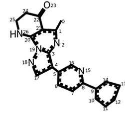 Cc1nc2c(-c3ccc(-c4ccccc4)nc3)cnn2c2c1C(=O)CCN2